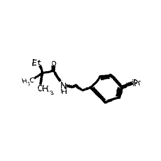 CCC(C)(C)C(=O)NCCc1ccc(C(C)C)cc1